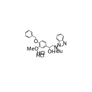 CCC(C)N(CC(O)c1ccc(OCc2ccccc2)c(OC)c1)n1cnc2ccccc21.Cl.Cl